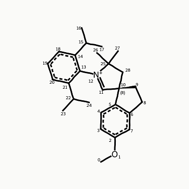 COc1ccc2c(c1)CC[C@]21C=[N+](c2c(C(C)C)cccc2C(C)C)C(C)(C)C1